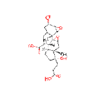 C[C@@]12C(CC(=O)C3OC31)CC(C(=O)O)[C@H]1[C@@H]3CC[C@](O)(CCC(=O)O)[C@@]3(C)CC3OC312